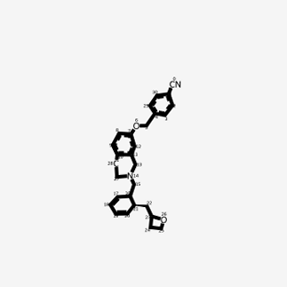 N#Cc1ccc(COc2ccc3c(c2)CN(CC2C=CC=C[C@@H]2CC2CCO2)CC3)cc1